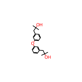 CC(C)(O)Cc1cccc(Oc2cccc(CC(C)(C)O)c2)c1